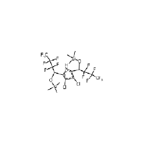 C[Si](C)(C)OC(c1[nH]c(C(O[Si](C)(C)C)C(F)(F)C(F)(F)C(F)(F)F)c(Cl)c1Cl)C(F)(F)C(F)(F)C(F)(F)F